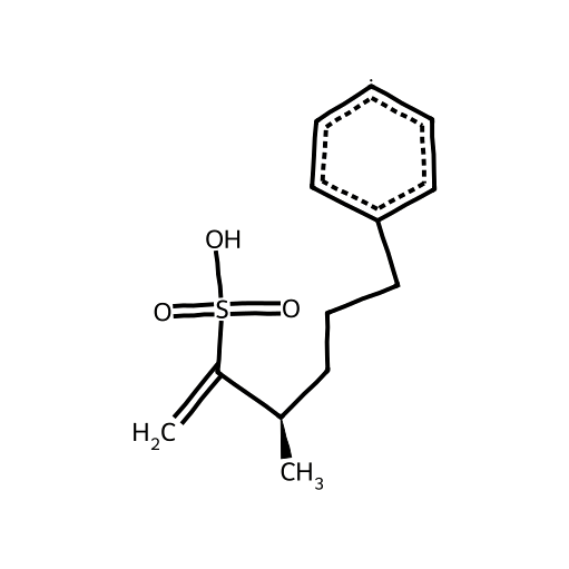 C=C([C@H](C)CCCc1cc[c]cc1)S(=O)(=O)O